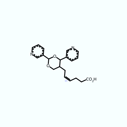 O=C(O)CC/C=C\CC1COC(c2cccnc2)OC1c1cccnc1